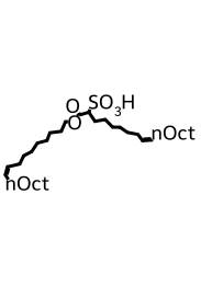 CCCCCCCC/C=C\CCCCCCCCOC(=O)C(CCCCCC/C=C\CCCCCCCC)S(=O)(=O)O